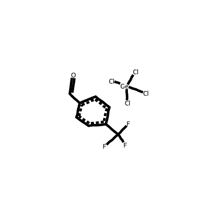 O=Cc1ccc(C(F)(F)F)cc1.[Cl][Ge]([Cl])([Cl])[Cl]